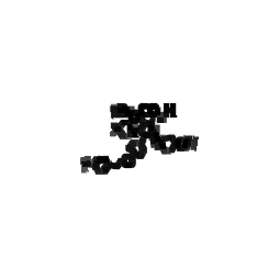 Cc1nc(CN2CCC(O)CC2)c(-c2ccc(OCCc3ccc(F)cc3)cc2)c(N2CCC(C)(C)CC2)c1[C@H](OC(C)(C)C)C(=O)O